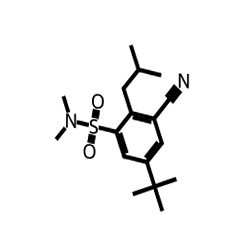 CC(C)Cc1c(C#N)cc(C(C)(C)C)cc1S(=O)(=O)N(C)C